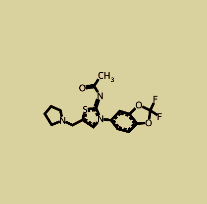 CC(=O)N=c1sc(CN2CCCC2)cn1-c1ccc2c(c1)OC(F)(F)O2